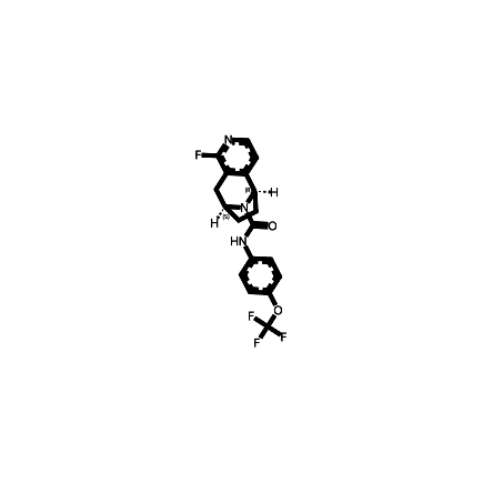 O=C(Nc1ccc(OC(F)(F)F)cc1)N1[C@H]2CC[C@@H]1c1ccnc(F)c1C2